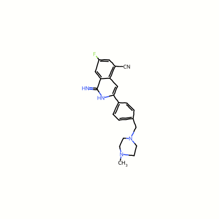 CN1CCN(Cc2ccc(-c3cc4c(C#N)cc(F)cc4c(=N)[nH]3)cc2)CC1